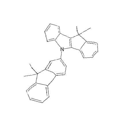 CC1(C)c2ccccc2-c2ccc(-n3c4c(c5ccccc53)C(C)(C)c3ccccc3-4)cc21